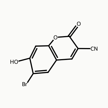 N#Cc1cc2cc(Br)c(O)cc2oc1=O